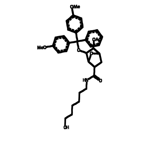 COc1ccc(C(OC2C(OC(C)=O)C3CC(C(=O)NCCCCCCO)C2O3)(c2ccccc2)c2ccc(OC)cc2)cc1